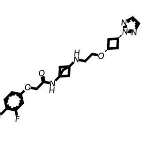 O=C(COc1ccc(Cl)c(F)c1)NC12CC(NCCO[C@H]3C[C@@H](n4nccn4)C3)(C1)C2